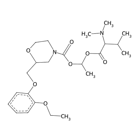 CCOc1ccccc1OCC1CN(C(=O)OC(C)OC(=O)C(C(C)C)N(C)C)CCO1